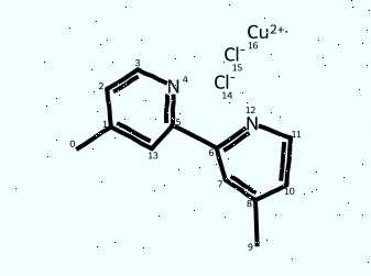 Cc1ccnc(-c2cc(C)ccn2)c1.[Cl-].[Cl-].[Cu+2]